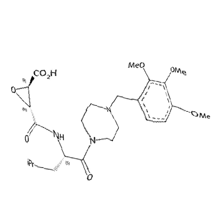 COc1ccc(CN2CCN(C(=O)[C@H](CC(C)C)NC(=O)[C@@H]3O[C@H]3C(=O)O)CC2)c(OC)c1OC